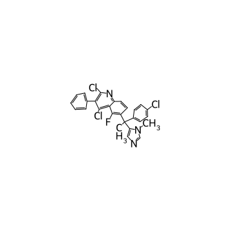 Cn1cncc1C(C)(c1ccc(Cl)cc1)c1ccc2nc(Cl)c(-c3ccccc3)c(Cl)c2c1F